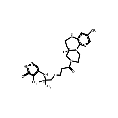 C[C@]([SiH3])(COCCC(=O)N1CCN2c3ncc(C(F)(F)F)cc3NCC[C@H]2C1)Nc1cn[nH]c(=O)c1C(F)(F)F